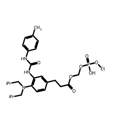 CCOP(=O)(O)OCOC(=O)CCc1ccc(N(CC(C)C)CC(C)C)c(NC(=O)Nc2ccc(C)cc2)c1